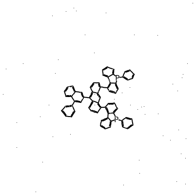 c1ccc(-c2cc(-c3c4cccc(-c5cccc6c5c5ccccc5p6-c5ccccc5)c4cc4c(-c5cccc6c5c5ccccc5p6-c5ccccc5)cccc34)cc3ccccc23)cc1